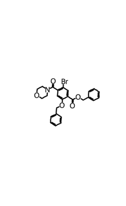 O=C(OCc1ccccc1)c1cc(Br)c(C(=O)N2CCOCC2)cc1OCc1ccccc1